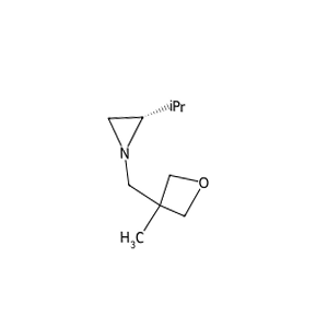 CC(C)[C@H]1CN1CC1(C)COC1